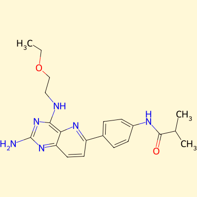 CCOCCNc1nc(N)nc2ccc(-c3ccc(NC(=O)C(C)C)cc3)nc12